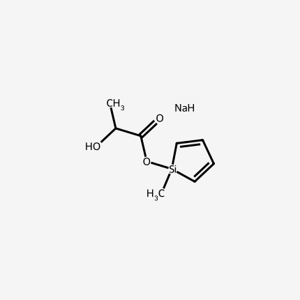 CC(O)C(=O)O[Si]1(C)C=CC=C1.[NaH]